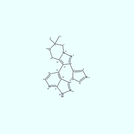 CC1(C)Cn2nc(-c3cnco3)c(-c3ccnc4[nH]ncc34)c2CO1